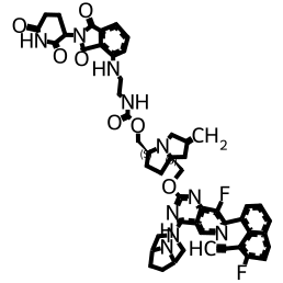 C#Cc1c(F)ccc2cccc(-c3ncc4c(N5CC6CCC(C5)N6)nc(OC[C@@]56CC[C@@H](COC(=O)NCCNc7cccc8c7C(=O)N(C7CCC(=O)NC7=O)C8=O)N5CC(=C)C6)nc4c3F)c12